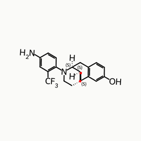 Nc1ccc(N2CC[C@@]34CCCC[C@@H]3[C@@H]2Cc2ccc(O)cc24)c(C(F)(F)F)c1